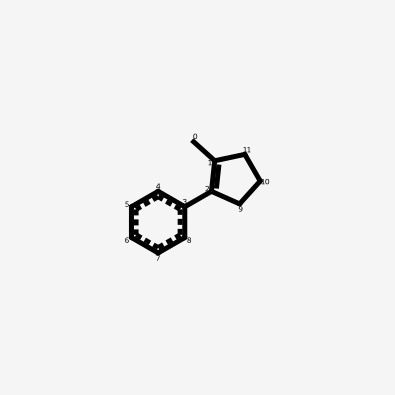 CC1=C(c2ccccc2)CCC1